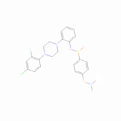 CN(C)Sc1ccc([S+]([O-])Nc2ccccc2N2CCN(c3ccc(Cl)cc3F)CC2)cc1